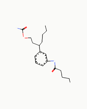 CCCCC(=O)Nc1cccc(C(CCCC)CCOC(N)=O)c1